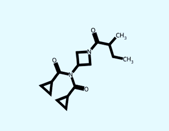 CCC(C)C(=O)N1CC(N(C(=O)C2CC2)C(=O)C2CC2)C1